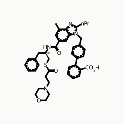 CCCc1nc2c(C)cc(C(=O)N[C@@H](CSC(=O)CCN3CCOCC3)Cc3ccccc3)cc2n1Cc1ccc(-c2ccccc2C(=O)O)cc1